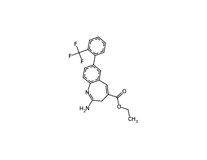 CCOC(=O)C1=Cc2cc(-c3ccccc3C(F)(F)F)ccc2N=C(N)C1